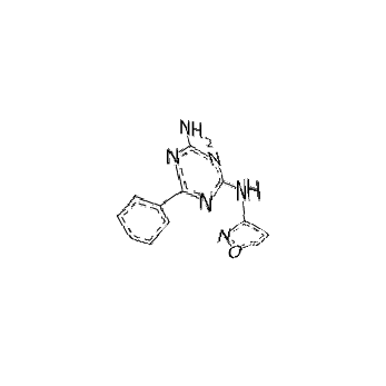 Nc1nc(Nc2ccon2)nc(-c2ccccc2)n1